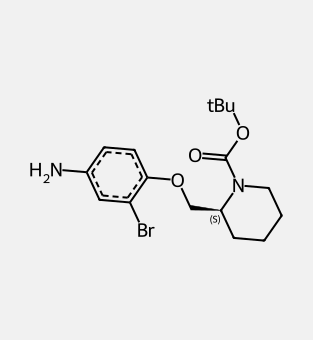 CC(C)(C)OC(=O)N1CCCC[C@H]1COc1ccc(N)cc1Br